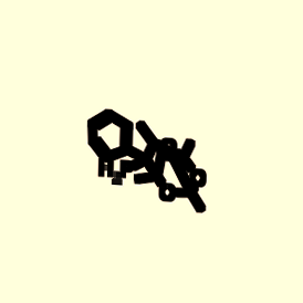 CC12CC3(C)OC(C)(CC(C)(O1)C3(P)c1ccccc1)O2